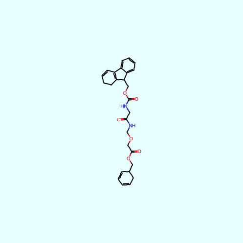 O=C(CNC(=O)OCC1C2=C(C=CCC2)c2ccccc21)NCOCC(=O)OCC1C=CC=CC1